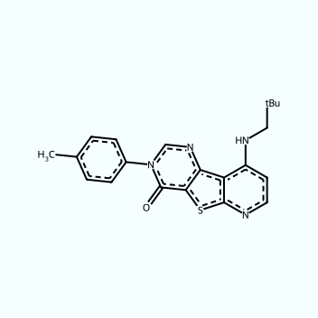 Cc1ccc(-n2cnc3c(sc4nccc(NCC(C)(C)C)c43)c2=O)cc1